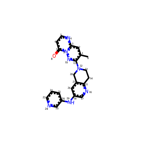 Cc1cc2nccc(=O)n2nc1N1CCc2ncc(Nc3cccnc3)cc2C1